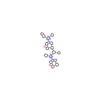 c1ccc(-c2cc(-c3ccc4c(c3)c3cccc5oc6ccc7c(c6c53)c3c4cccc3n7-c3nc(-c4ccccc4)nc(-c4ccc5ccccc5c4)n3)cc(-c3nc(-c4ccccc4)nc(-n4c5cccc6c7ccccc7c7cccc8oc9ccc4c(c9c87)c65)n3)c2)cc1